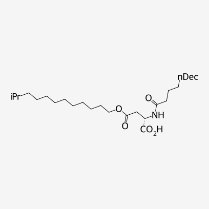 CCCCCCCCCCCCCC(=O)N[C@@H](CC(=O)OCCCCCCCCCCC(C)C)C(=O)O